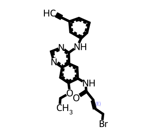 C#Cc1cccc(Nc2ncnc3cc(OCC)c(NC(=O)/C=C/CBr)cc23)c1